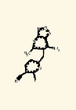 Cc1nc2nonc2c(N)c1Cc1ccc(C#N)c(F)n1